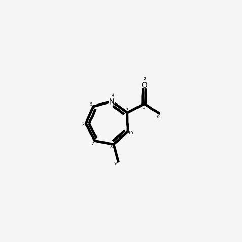 CC(=O)C1=NC=C=CC(C)=C1